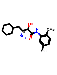 COc1ccc(C(C)(C)C)cc1NC(=O)C(O)[C@H](N)CC1CCCCC1